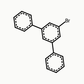 Brc1cc(-c2ccccc2)cc(-c2ccccc2)c1